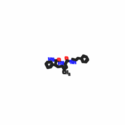 Cc1cc(C(=O)NCCCc2ccccc2)[nH]c1/C=C1\C(=O)Nc2ccccc21